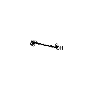 COP(=O)(OC)OCCCCCCCCCCCCCCCC(=O)O